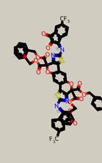 O=C(OCc1ccccc1)C1(C(=O)OCc2ccccc2)Oc2cc3c(cc2-c2sc(/N=c4\c(=O)c(=O)c5cc(C(F)(F)F)ccc45)nc21)OC(C(=O)OCc1ccccc1)(C(=O)OCc1ccccc1)c1nc(/N=c2\c(=O)c(=O)c4cc(C(F)(F)F)ccc24)sc1-3